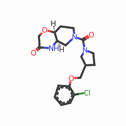 O=C1CO[C@H]2CCN(C(=O)N3CCC(COc4ccccc4Cl)C3)C[C@H]2N1